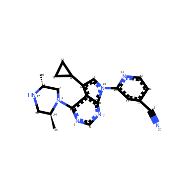 C[C@@H]1CN(c2ncnc3c2c(C2CC2)cn3-c2cc(C#N)ccn2)[C@@H](C)CN1